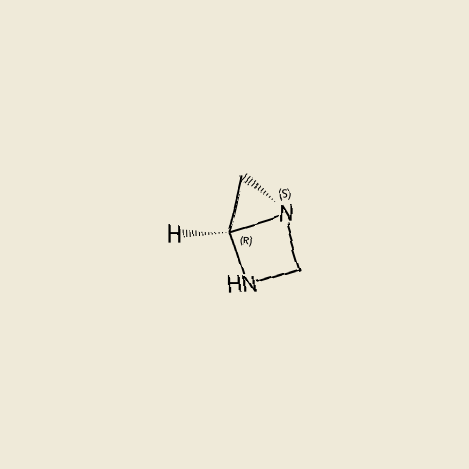 C1N[C@H]2C[N@]12